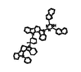 C[C@]1(n2c3c(c4c2ccc2c5ccccc5n(-c5ccccc5)c24)CCC=C3)C=CC=C(n2c3ccccc3c3ccc4c(c5ccccc5n4C4=NC(c5ccc6ccccc6c5)NC(c5ccc6ccccc6c5)=N4)c32)C1